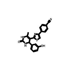 CC1=C(c2nc(-c3ccc(C#N)cc3)cs2)C(c2cccc(O)c2)NC(=O)N1